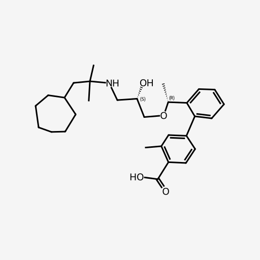 Cc1cc(-c2ccccc2[C@@H](C)OC[C@@H](O)CNC(C)(C)CC2CCCCCC2)ccc1C(=O)O